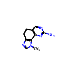 Cn1cnc2c1-c1nc(N)ncc1CC2